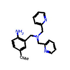 COc1ccc(N)c(CN(Cc2ccccn2)Cc2ccccn2)c1